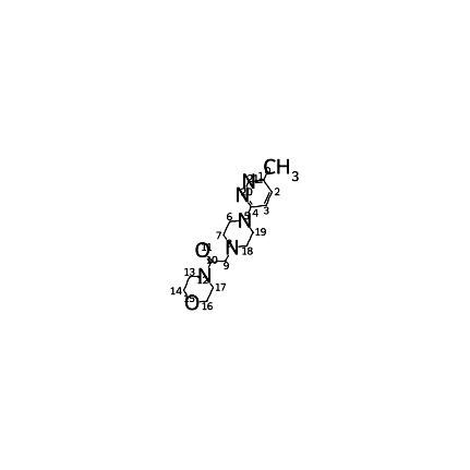 Cc1ccc(N2CCN(CC(=O)N3CCOCC3)CC2)nn1